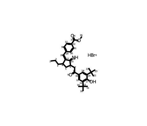 Br.CCCC1CC(CC(=O)c2cc(C(C)(C)C)c(O)c(C(C)(C)C)c2)C(=N)C1=Cc1ccc(C(=O)OC)cc1